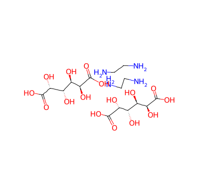 NCCN.NCCN.O=C(O)[C@@H](O)[C@H](O)[C@H](O)[C@@H](O)C(=O)O.O=C(O)[C@@H](O)[C@H](O)[C@H](O)[C@@H](O)C(=O)O